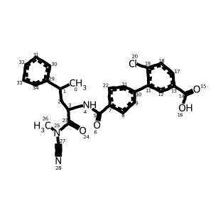 CC(CC(NC(=O)c1ccc(-c2cc(C(=O)O)ccc2Cl)cc1)C(=O)N(C)C#N)c1ccccc1